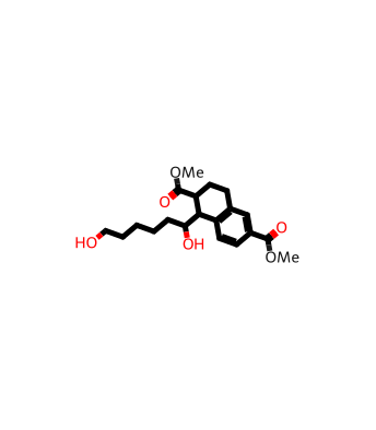 COC(=O)c1ccc2c(c1)CCC(C(=O)OC)C2C(O)CCCCCO